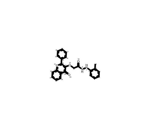 Cc1ccccc1NNC(=O)COc1c(-c2ccccc2)oc2ccccc2c1=O